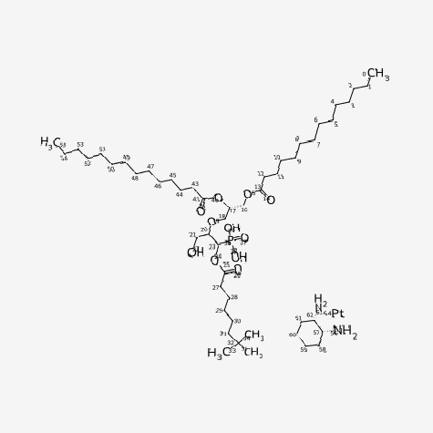 CCCCCCCCCCCCCC(=O)OC[C@H](COC(CO)C(OC(=O)CCCCCC(C)(C)C)P(=O)(O)O)OC(=O)CCCCCCCCCCCCC.N[C@@H]1CCCC[C@@H]1N.[Pt]